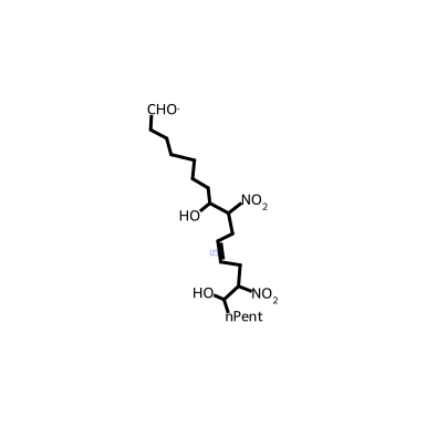 CCCCCC(O)C(C/C=C\CC(C(O)CCCCCC[C]=O)[N+](=O)[O-])[N+](=O)[O-]